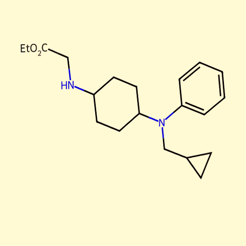 CCOC(=O)CNC1CCC(N(CC2CC2)c2ccccc2)CC1